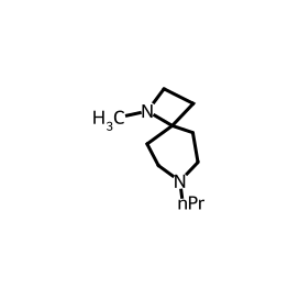 CCCN1CCC2(CC1)CCN2C